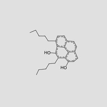 CCCCCc1ccc2ccc3ccc(O)c4c(CCCCC)c(O)c1c2c34